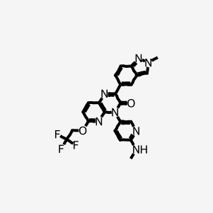 CNc1ccc(-n2c(=O)c(-c3ccc4nn(C)cc4c3)nc3ccc(OCC(F)(F)F)nc32)cn1